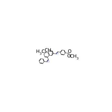 COC(=O)c1ccc(/C=C/c2ccc3c(c2)C(/C=C\c2ccccc2)=CCC3(C)C)cc1